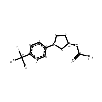 NC(=O)O[C@@H]1CCN(c2ccc(C(F)(F)F)nc2)C1